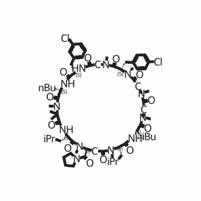 CCCC[C@@H]1NC(=O)[C@H](Cc2cccc(Cl)c2)NC(=O)CN(C)C(=O)[C@H](Cc2ccc(Cl)cc2)N(C)C(=O)CN(C)C(=O)CN(C)C(=O)[C@H]([C@@H](C)CC)NC(=O)[C@H](CC(C)C)N(C)C(=O)C[C@@H](C(=O)N2CCCC2)N(C)C(=O)[C@H](CC(C)C)NC(=O)C(C)(C)N(C)C1=O